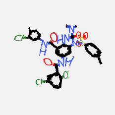 Cc1ccc(S(=O)(=O)OC2(N(C)C)Nc3cc(NC(=O)c4cc(Cl)ccc4Cl)cc(C(=O)Nc4ccc(C)c(Cl)c4)c3N2)cc1